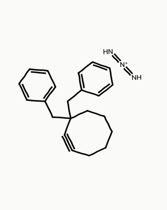 C1#CC(Cc2ccccc2)(Cc2ccccc2)CCCCC1.N=[N+]=N